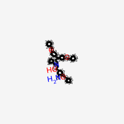 Nc1cc(C(O)CN(CCC(c2ccc(OCc3ccccc3)cc2)c2ccc(OCc3ccccc3)cc2)Cc2ccccc2)ccc1OCc1ccccc1